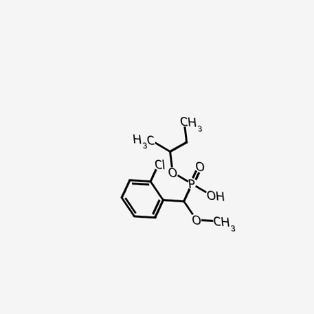 CCC(C)OP(=O)(O)C(OC)c1ccccc1Cl